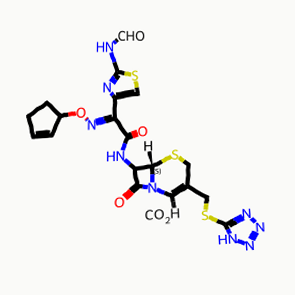 O=CNc1nc(C(=NOC2C=CCC2)C(=O)NC2C(=O)N3C(C(=O)O)=C(CSc4nnn[nH]4)CS[C@@H]23)cs1